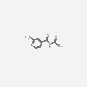 CCC(C)C(=O)NC(=O)c1ccnc([N+](=O)[O-])c1